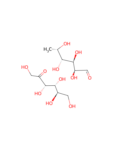 C[C@H](O)[C@@H](O)[C@@H](O)[C@H](O)C=O.O=C(CO)[C@@H](O)[C@H](O)[C@H](O)CO